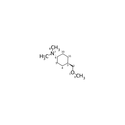 COC[C@H]1CC[C@H](N(C)C)CC1